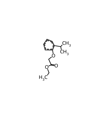 CCOC(=O)COc1ccccc1C(C)C